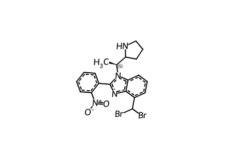 C[C@@H](C1CCCN1)n1c(-c2ccccc2[N+](=O)[O-])nc2c(C(Br)Br)cccc21